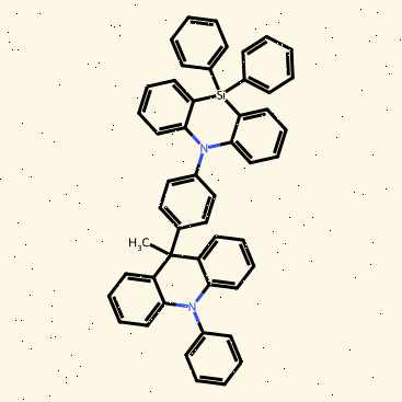 CC1(c2ccc(N3c4ccccc4[Si](c4ccccc4)(c4ccccc4)c4ccccc43)cc2)c2ccccc2N(c2ccccc2)c2ccccc21